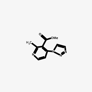 COC(=O)c1c(-n2ccnn2)ccnc1C